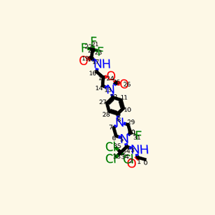 CC(=O)NC(N1CCN(c2ccc(N3CC(CNC(=O)C(F)(F)F)OC3=O)cc2)C[C@@H]1F)C(Cl)(Cl)Cl